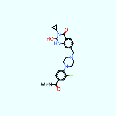 CNC(=O)c1ccc(N2CCN(Cc3ccc4c(c3)NC(O)N(C3CC3)C4=O)CC2)c(F)c1